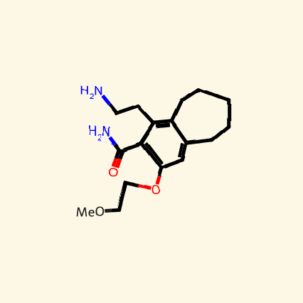 COCCOc1cc2c(c(CCN)c1C(N)=O)CCCCC2